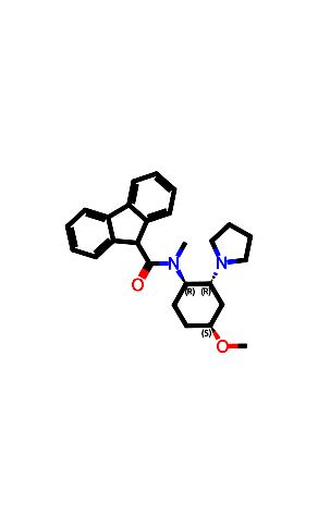 CO[C@H]1CC[C@@H](N(C)C(=O)C2c3ccccc3-c3ccccc32)[C@H](N2CCCC2)C1